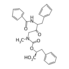 CN(CC(=O)C(Cc1ccccc1)NC(=O)c1ccccc1)C(=O)O[C@@H](Cc1ccccc1)C(=O)O